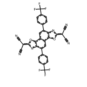 N#CC(C#N)=c1nc2c(-c3ccc(C(F)(F)F)cc3)cc3c(cc(-c4ccc(C(F)(F)F)cc4)c4nc(=C(C#N)C#N)oc43)c2o1